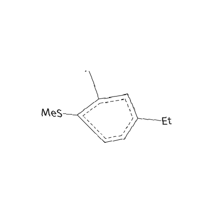 [CH2]c1cc(CC)ccc1SC